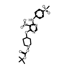 CC(C)(C)OC(=O)ON1CCC(Oc2ncnc(Nc3ccc(S(C)(=O)=O)cc3)c2[N+](=O)[O-])CC1